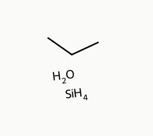 CCC.O.[SiH4]